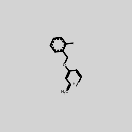 C=C/C=C(\C=C/C)OCc1ccccc1F